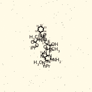 CCCN(C)c1nc(N)nc2c1ncn2[C@@H]1O[C@](F)(CO[P@@](=O)(N[C@@H](C)C(=O)OC(C)C)Oc2ccccc2)[C@@H](O)[C@@]1(C)F